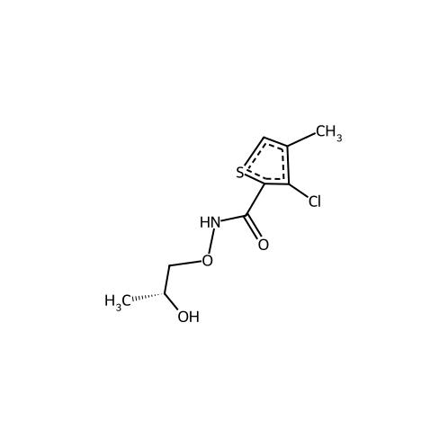 Cc1csc(C(=O)NOC[C@@H](C)O)c1Cl